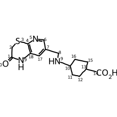 O=C1CSc2ncc(CNC3CCC(C(=O)O)CC3)cc2N1